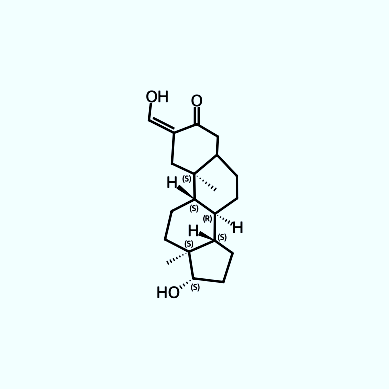 C[C@]12CC[C@H]3[C@@H](CCC4CC(=O)C(=CO)C[C@@]43C)[C@@H]1CC[C@@H]2O